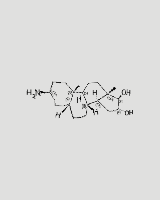 C[C@]12CC[C@H](N)C[C@H]1CC[C@@H]1[C@@H]2CC[C@]2(C)[C@@H](O)[C@H](O)C[C@@H]12